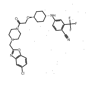 N#Cc1ccc(N[C@H]2CC[C@H](OCC(=O)N3CCN(Cc4nc5cc(Cl)ccc5o4)CC3)CC2)cc1C(F)(F)F